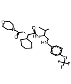 CC(C)[C@@H](CNc1ccc(OC(F)(F)F)cc1)NC(=O)[C@@H](CC(=O)N1CCOCC1)C1CCCCC1